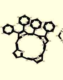 C1=CC2=NC1=CC1=NC(=C(c3ccccc3)C3=NC(=CC4=NC(=C2)C=C4)C=C3c2ccccc2)C(c2ccccc2)=C1c1ccccc1.CC(=O)CC(C)=O